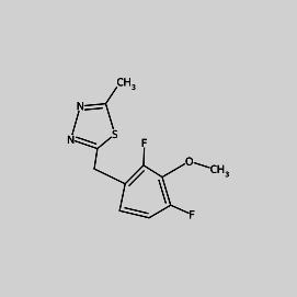 COc1c(F)ccc(Cc2nnc(C)s2)c1F